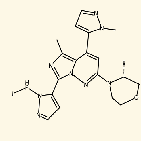 Cc1nc(-c2ccnn2PI)n2nc(N3CCOC[C@H]3C)cc(-c3ccnn3C)c12